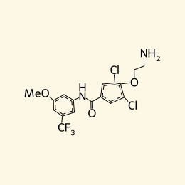 COc1cc(NC(=O)c2cc(Cl)c(OCCN)c(Cl)c2)cc(C(F)(F)F)c1